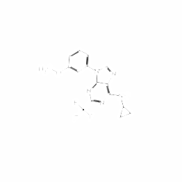 COc1cccc(-n2cnc3c(NC4CC4)nc(C(F)(F)F)nc32)c1